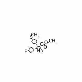 CCOC(=O)Oc1c(-c2ccc(SC)cc2)c(-c2ccc(F)cc2)n2c1CCC2